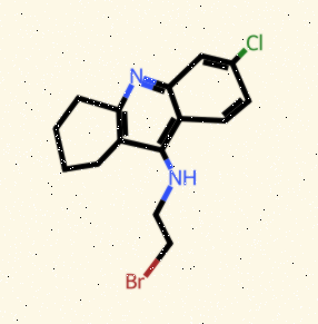 Clc1ccc2c(NCCBr)c3c(nc2c1)CCCC3